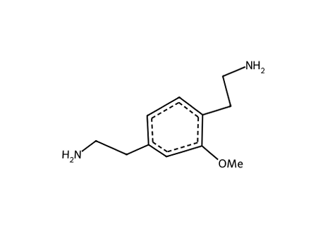 COc1cc(CCN)ccc1CCN